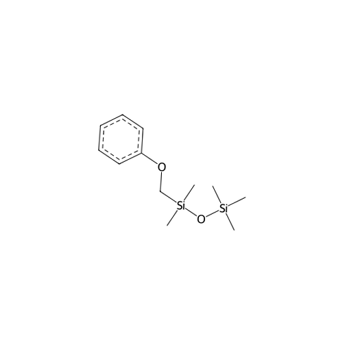 C[Si](C)(C)O[Si](C)(C)COc1ccccc1